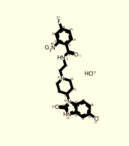 Cl.O=C(NCCN1CCC(n2c(=O)[nH]c3cc(Cl)ccc32)CC1)c1ccc(F)cc1[N+](=O)[O-]